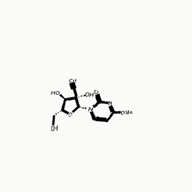 C#C[C@]1(O)[C@H](O)[C@@H](CO)O[C@H]1n1ccc(OC)nc1=O